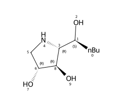 CCCC[C@H](O)[C@H]1NC[C@@H](O)[C@@H]1O